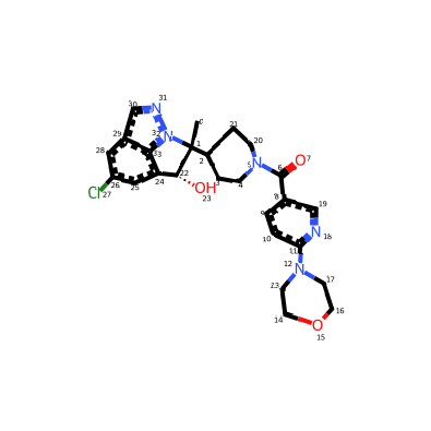 CC1(C2CCN(C(=O)c3ccc(N4CCOCC4)nc3)CC2)[C@H](O)c2cc(Cl)cc3cnn1c23